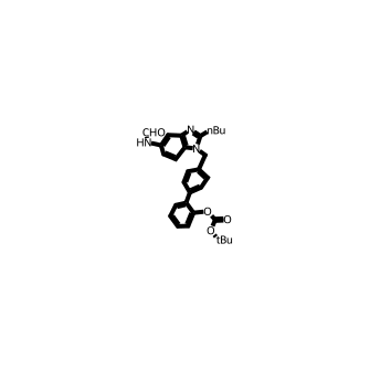 CCCCc1nc2cc(NC=O)ccc2n1Cc1ccc(-c2ccccc2OC(=O)OC(C)(C)C)cc1